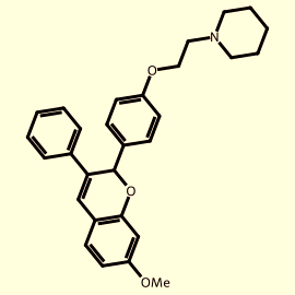 COc1ccc2c(c1)OC(c1ccc(OCCN3CCCCC3)cc1)C(c1ccccc1)=C2